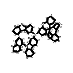 c1ccc2c(c1)Sc1cc(N(c3ccc4sc5ccccc5c4c3)c3ccc4c5ccccc5n(-c5cccc6ccccc56)c4c3)ccc1C21c2ccccc2-c2cccc3cccc1c23